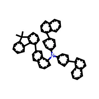 CC1(C)c2ccccc2-c2c(-c3ccc4cccc(N(c5ccc(-c6cccc7ccccc67)cc5)c5ccc(-c6cccc7ccccc67)cc5)c4c3)cccc21